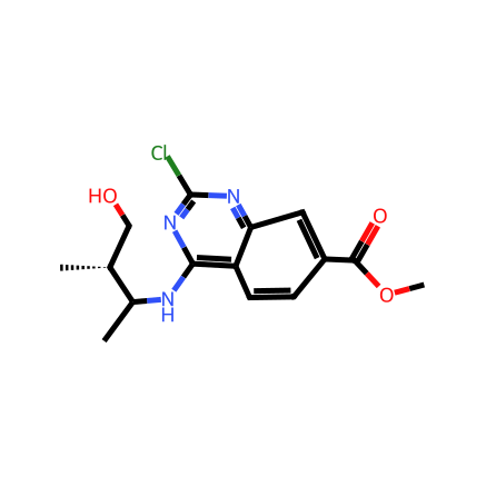 COC(=O)c1ccc2c(NC(C)[C@H](C)CO)nc(Cl)nc2c1